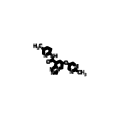 Cc1ccc(NC(=O)c2cc(Oc3cnc(C)nc3)cn3cnnc23)nc1